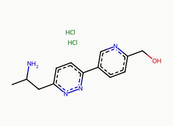 CC(N)Cc1ccc(-c2ccc(CO)nc2)nn1.Cl.Cl